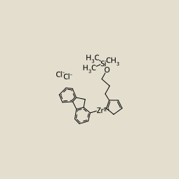 C[Si](C)(C)OCCCC1=[C]([Zr+2][c]2cccc3c2Cc2ccccc2-3)CC=C1.[Cl-].[Cl-]